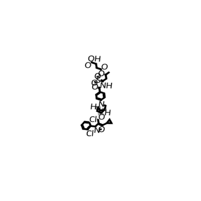 CC(CC(NC(=O)c1ccc(N2C[C@@H]3C[C@H]2C[C@H]3OCc2c(-c3c(Cl)cccc3Cl)noc2C2CC2)cc1)=S(=O)=O)OC(=O)CCC(=O)O